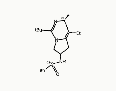 CCC1=C2CC(NS(=O)(=O)C(C)C)CN2C(C(C)(C)C)=N[C@H]1C